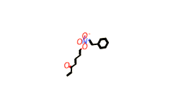 C=CC(=O)C=CC=CO[N+]([O-])([O-])C=Cc1ccccc1